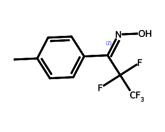 Cc1ccc(/C(=N/O)C(F)(F)C(F)(F)F)cc1